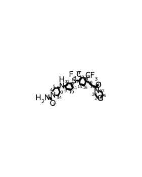 NC(=O)N1CCC(Nc2cccc(Sc3ccc(C=CC(=O)N4CCOCC4)c(C(F)(F)F)c3C(F)(F)F)c2)CC1